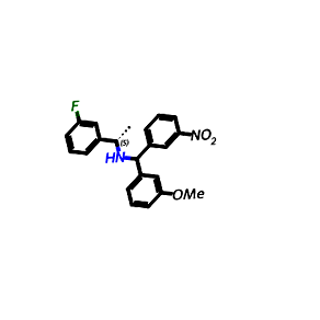 COc1cccc(C(N[C@@H](C)c2cccc(F)c2)c2cccc([N+](=O)[O-])c2)c1